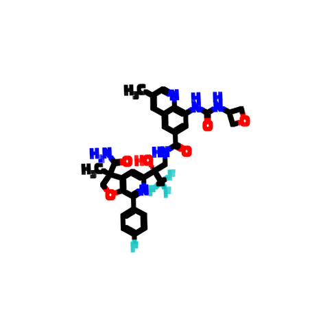 Cc1cnc2c(NC(=O)NC3COC3)cc(C(=O)NC[C@](O)(c3cc4c(c(-c5ccc(F)cc5)n3)OC[C@]4(C)C(N)=O)C(F)(F)F)cc2c1